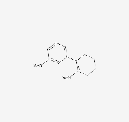 CNC1=C(c2cccc(OC)c2)CCCC1